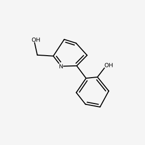 OCc1cccc(-c2ccccc2O)n1